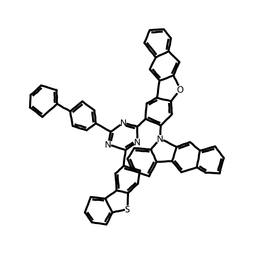 c1ccc(-c2ccc(-c3nc(-c4ccc5sc6ccccc6c5c4)nc(-c4cc5c(cc4-n4c6ccccc6c6cc7ccccc7cc64)oc4cc6ccccc6cc45)n3)cc2)cc1